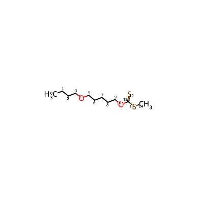 CCCCOCCCCCOC(=S)SC